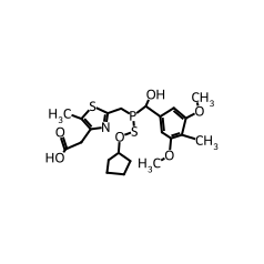 COc1cc(C(O)P(Cc2nc(CC(=O)O)c(C)s2)SOC2CCCC2)cc(OC)c1C